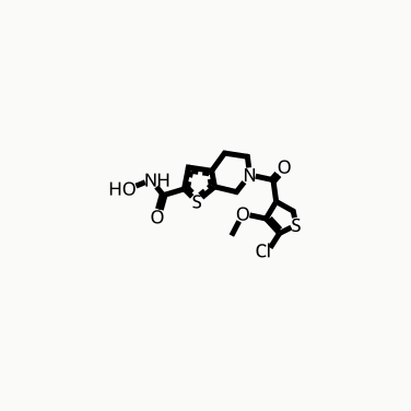 COC1=C(Cl)SCC1C(=O)N1CCc2cc(C(=O)NO)sc2C1